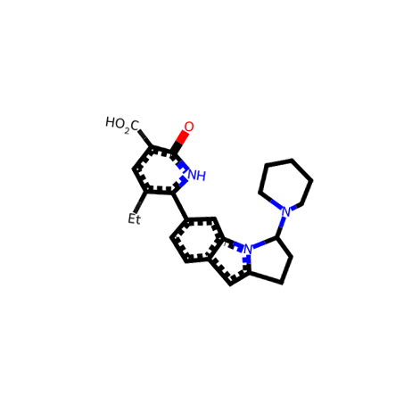 CCc1cc(C(=O)O)c(=O)[nH]c1-c1ccc2cc3n(c2c1)C(N1CCCCC1)CC3